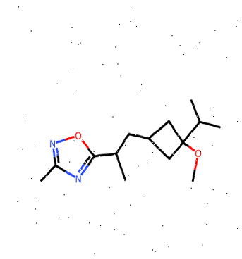 COC1(C(C)C)CC(CC(C)c2nc(C)no2)C1